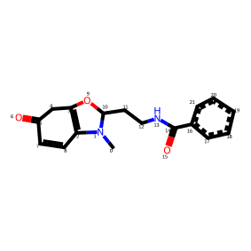 CN1C2=C(CC(=O)C=C2)OC1CCNC(=O)c1ccccc1